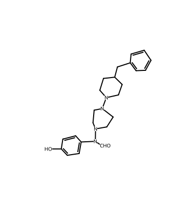 O=CN(c1ccc(O)cc1)N1CCN(N2CCC(Cc3ccccc3)CC2)CC1